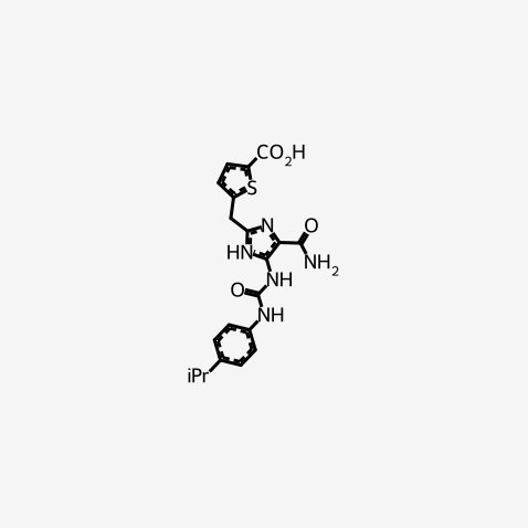 CC(C)c1ccc(NC(=O)Nc2[nH]c(Cc3ccc(C(=O)O)s3)nc2C(N)=O)cc1